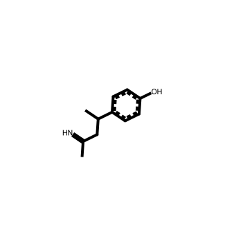 CC(=N)CC(C)c1ccc(O)cc1